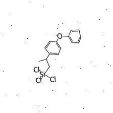 CC(C[Si](Cl)(Cl)Cl)c1ccc(Oc2ccccc2)cc1